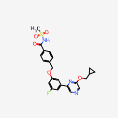 CS(=O)(=O)NC(=O)c1ccc(COc2cc(F)cc(-c3cncc(OCC4CC4)n3)c2)cc1